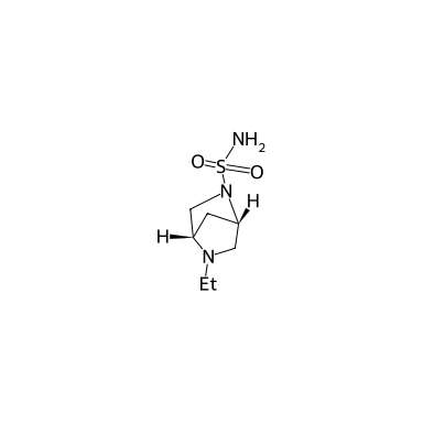 CCN1C[C@@H]2C[C@H]1CN2S(N)(=O)=O